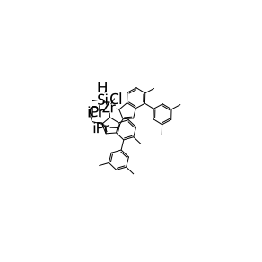 Cc1cc(C)cc(-c2c(C)ccc3c2C=C(CC(C)C)[CH]3[Zr]([Cl])([Cl])([CH]2C(CC(C)C)=Cc3c2ccc(C)c3-c2cc(C)cc(C)c2)[SiH](C)C)c1